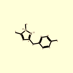 Cc1ccc(Cc2cc(C)n(C)n2)cc1